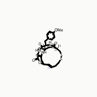 COc1ccc(CC2NC(=O)[C@H]3CSSCC/C=C/C(CC(=O)N[C@H](C(C)C)C(=O)N3)OC(=O)CNC2=O)cc1